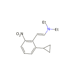 CCN(C=Cc1c(C2CC2)cccc1[N+](=O)[O-])CC